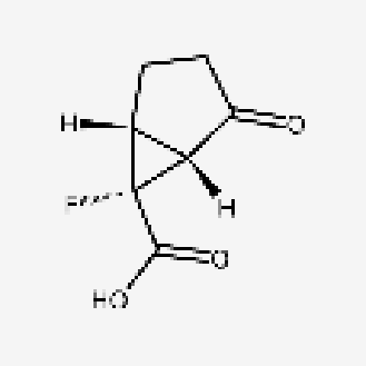 O=C1CC[C@@H]2[C@H]1[C@@]2(F)C(=O)O